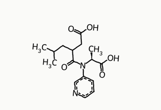 CC(C)CC(CC(=O)O)C(=O)N(c1cccnc1)[C@@H](C)C(=O)O